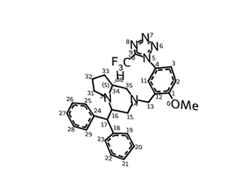 COc1ccc(-n2nnnc2C(F)(F)F)cc1CN1CC(C(c2ccccc2)c2ccccc2)N2CCC[C@H]2C1